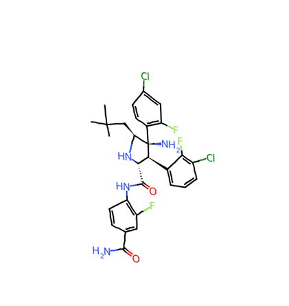 CC(C)(C)C[C@@H]1N[C@@H](C(=O)Nc2ccc(C(N)=O)cc2F)[C@H](c2cccc(Cl)c2F)[C@@]1(N)c1ccc(Cl)cc1F